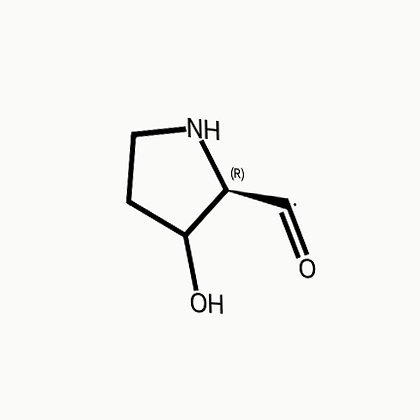 O=[C][C@@H]1NCCC1O